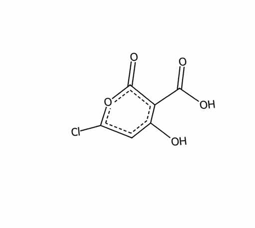 O=C(O)c1c(O)cc(Cl)oc1=O